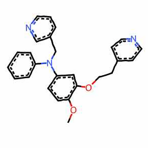 COc1ccc(N(Cc2cccnc2)c2ccccc2)cc1OCCc1ccncc1